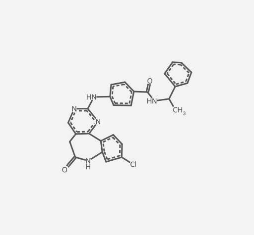 CC(NC(=O)c1ccc(Nc2ncc3c(n2)-c2ccc(Cl)cc2NC(=O)C3)cc1)c1ccccc1